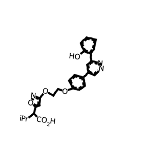 CC(C)C(C(=O)O)c1cc(OCCOc2ccc(-c3cnnc(-c4ccccc4O)c3)cc2)no1